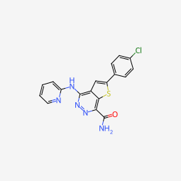 NC(=O)c1nnc(Nc2ccccn2)c2cc(-c3ccc(Cl)cc3)sc12